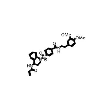 C=CC(=O)NC1CCN(S(=O)(=O)c2ccc(C(=O)NCCc3ccc(OC)c(OC)c3)cc2)c2ccccc21